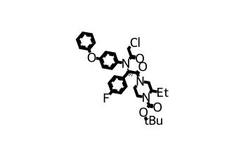 CCC1CN(C(=O)[C@H](c2ccc(F)cc2)N(C(=O)CCl)c2ccc(Oc3ccccc3)cc2)CCN1C(=O)OC(C)(C)C